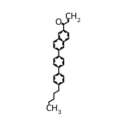 C=CC(=O)c1ccc2cc(-c3ccc(-c4ccc(CCCCC)cc4)cc3)ccc2c1